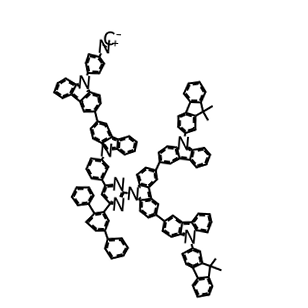 [C-]#[N+]c1ccc(-n2c3ccccc3c3cc(-c4ccc5c(c4)c4ccccc4n5-c4cccc(-c5cc(-c6cc(-c7ccccc7)ccc6-c6ccccc6)nc(-n6c7ccc(-c8ccc9c(c8)c8ccccc8n9-c8ccc9c(c8)C(C)(C)c8ccccc8-9)cc7c7cc(-c8ccc9c(c8)c8ccccc8n9-c8ccc9c(c8)C(C)(C)c8ccccc8-9)ccc76)n5)c4)ccc32)cc1